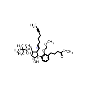 CC#CCCC/C=C/C1C(O[Si](C)(C)C(C)(C)C)C[C@H](O)[C@@H]1c1cccc(CCCC(=O)OC)c1OCOC